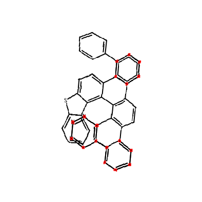 c1ccc(-c2ccccc2-c2ccc(-c3ccccc3)c(-c3c(-c4ccccc4-c4ccccc4)ccc4sc5ccccc5c34)c2-c2nnncc2-c2ccccc2)cc1